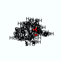 CSCC[C@H](NC(=O)[C@H](Cc1ccc(O)cc1)NC(=O)[C@@H](NC(=O)[C@@H](NC(=O)[C@@H](N)CO)[C@@H](C)O)C(C)C)C(=O)N[C@@H](CCC(=O)O)C(=O)N[C@@H](CC(C)C)C(=O)N[C@H](C(=O)NCC(=O)N[C@@H](CC(C)C)C(=O)N[C@H](C(=O)N[C@@H](CO)C(=O)N[C@@H](CCC(=O)O)C(=O)N[C@@H](CC(=O)O)C(=O)N[C@@H](CO)C(=O)N[C@@H](C)C(=O)N[C@H](C(=O)N[C@@H](Cc1ccc(O)cc1)C(=O)O)C(C)C)[C@@H](C)O)[C@@H](C)O